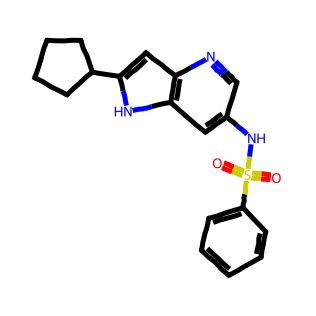 O=S(=O)(Nc1cnc2cc(C3CCCC3)[nH]c2c1)c1ccccc1